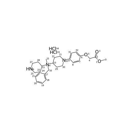 COC(=O)COc1ccc(N2CCC([N+](C)(Cc3ccccc3)C3CCNCC3)CC2)cc1.Cl.Cl